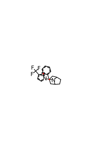 FC(F)(F)c1ccn(C2CC3CCC(C2)N3Cc2ccccc2)n1